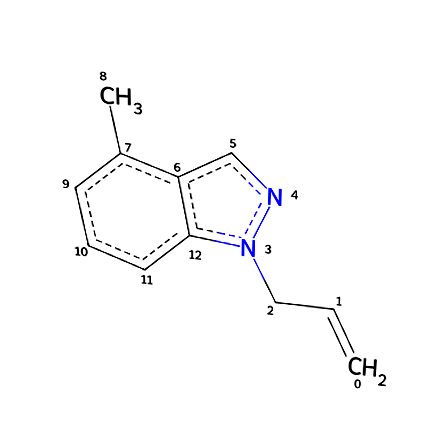 C=CCn1ncc2c(C)cccc21